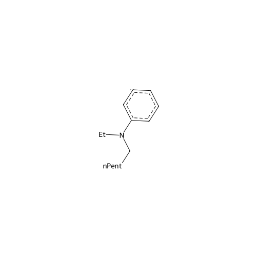 CCCCCCN(CC)c1c[c]ccc1